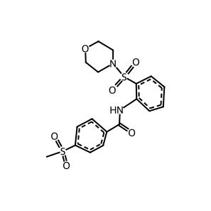 CS(=O)(=O)c1ccc(C(=O)Nc2ccccc2S(=O)(=O)N2CCOCC2)cc1